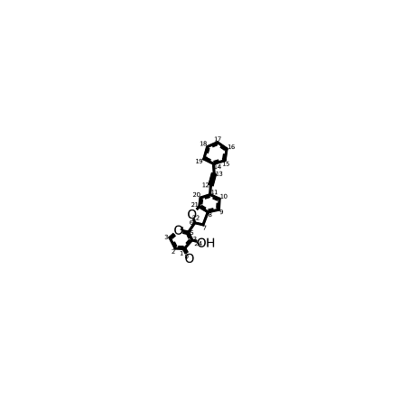 O=c1ccoc(C2Cc3ccc(C#Cc4ccccc4)cc3O2)c1O